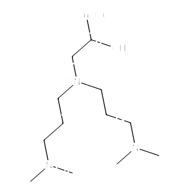 CCCCCCCCC(O)CN(CCCN(C)C)CCCN(C)C